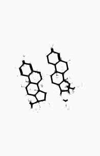 CCC[C@@H]1O[C@@H]2C[C@H]3[C@@H]4C[C@H](F)C5=CC(=O)CC[C@]5(C)[C@@]4(F)[C@@H](O)C[C@]3(C)[C@]2(C(=O)CO)O1.COC(=O)[C@@]1(C)[C@H](C)C[C@H]2[C@@H]3CCC4=CC(=O)C=C[C@]4(C)[C@H]3[C@@H](O)C[C@@]21C